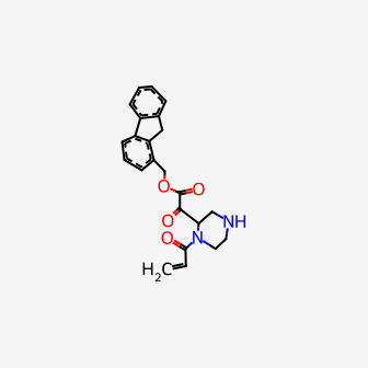 C=CC(=O)N1CCNCC1C(=O)C(=O)OCc1cccc2c1Cc1ccccc1-2